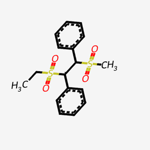 CCS(=O)(=O)[C](c1ccccc1)C(c1ccccc1)S(C)(=O)=O